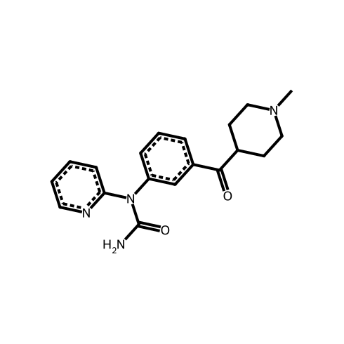 CN1CCC(C(=O)c2cccc(N(C(N)=O)c3ccccn3)c2)CC1